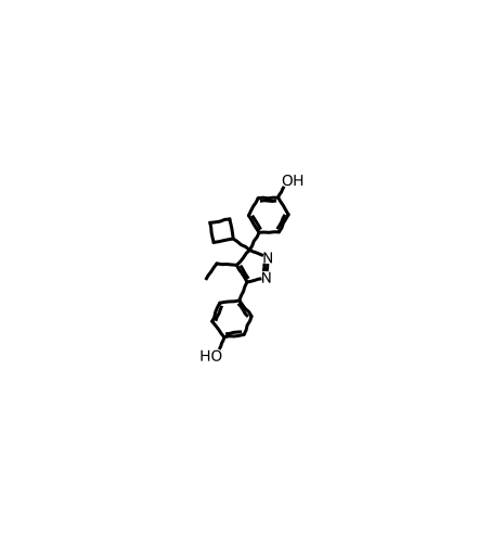 CCC1=C(c2ccc(O)cc2)N=NC1(c1ccc(O)cc1)C1CCC1